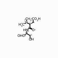 CN(C)[C@@H](CC(=O)O)C(=O)N[C@H](C=O)CO